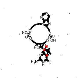 CC(C)(C)[Si](C)(C)OC1[C@H]2OP(=O)(O)OCc3nc4cncnc4n3CCCOP(=O)(O)OC[C@H]1O[C@H]2n1cnc2c(=O)[nH]c(N)nc21